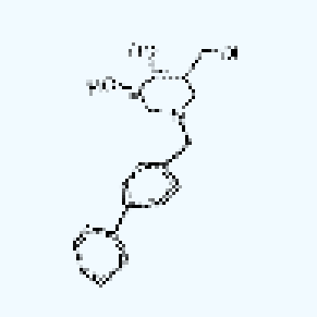 OCC1CN(Cc2ccc(-c3ccccc3)cc2)C[C@@H](O)[C@@H]1O